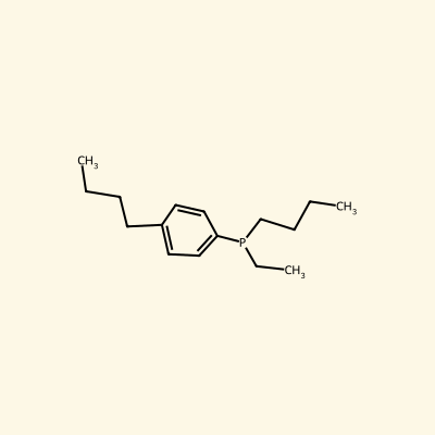 CCCCc1ccc(P(CC)CCCC)cc1